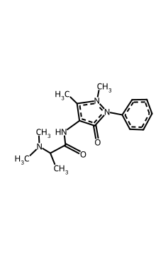 Cc1c(NC(=O)C(C)N(C)C)c(=O)n(-c2ccccc2)n1C